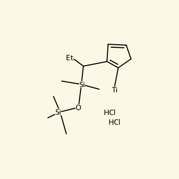 CCC(C1=[C]([Ti])CC=C1)[Si](C)(C)O[Si](C)(C)C.Cl.Cl